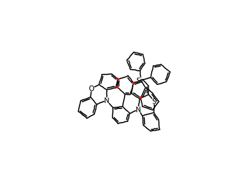 c1ccc([Si](c2ccccc2)(c2ccccc2)c2cccc(-c3c(N4c5ccccc5Oc5ccccc54)cccc3N3c4ccccc4Sc4ccccc43)c2)cc1